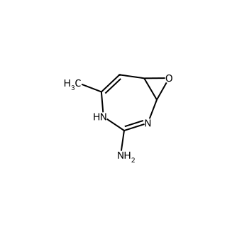 CC1=CC2OC2N=C(N)N1